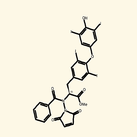 COC(=O)[C@H](Cc1cc(I)c(Oc2cc(I)c(O)c(I)c2)c(I)c1)N(C(=O)c1ccccc1)N1C(=O)C=CC1=O